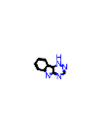 c1ccc2c3[nH]ncnc-3nc2c1